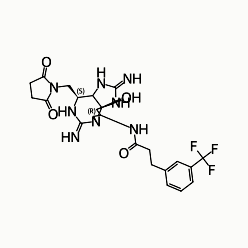 N=C1NC2[C@H](CN3C(=O)CCC3=O)NC(=N)N3CC(NC(=O)CCc4cccc(C(F)(F)F)c4)[C@@H](O)C23N1